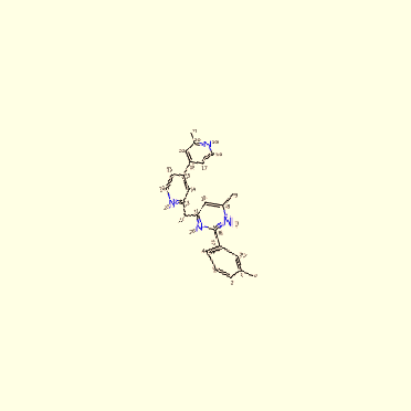 Cc1cccc(-c2nc(C)cc(Cc3cc(-c4ccnc(C)c4)ccn3)n2)c1